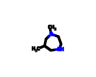 CC1CNCCN(C)C1